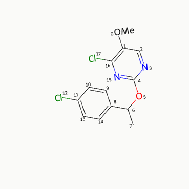 COc1cnc(OC(C)c2ccc(Cl)cc2)nc1Cl